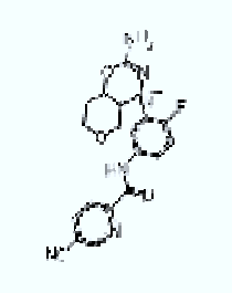 C[C@]1(c2cc(NC(=O)c3ccc(C#N)cn3)ccc2F)N=C(N)OC2CCOCC21